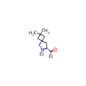 CCC(=O)[C@@H]1CC2(CN1CC)CC(C)(C)C2